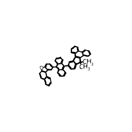 CC1(C)c2ccc(-c3c4ccccc4c(-c4ccc5oc6ccc7ccccc7c6c5c4)c4ccccc34)cc2-c2c1c1ccccc1c1ccccc21